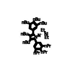 CCCCC1=C(c2cc(CCC)c(CCC)c(CCC)c2)[N+](=[N-])C(c2cc(CCCC)c(CCCC)c(CCCC)c2)=C1CCCC.C[CH2][Ni][CH2]C